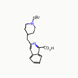 CCCCN1CCC(Cc2cc3ccccc3c(C(=O)O)n2)CC1